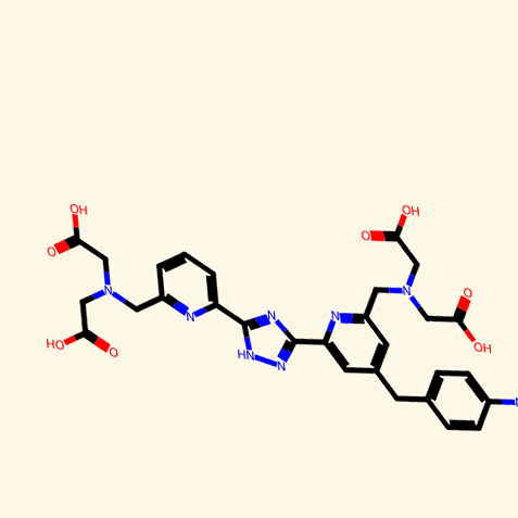 Nc1ccc(Cc2cc(CN(CC(=O)O)CC(=O)O)nc(-c3n[nH]c(-c4cccc(CN(CC(=O)O)CC(=O)O)n4)n3)c2)cc1